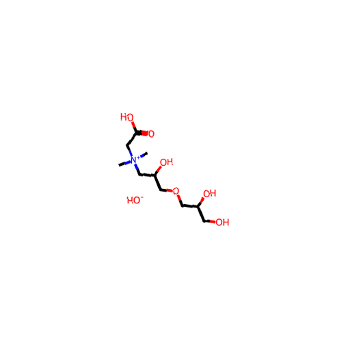 C[N+](C)(CC(=O)O)CC(O)COCC(O)CO.[OH-]